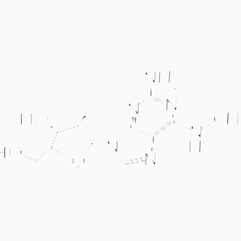 CNc1nc(N)nc2c1ncn2[C@@H]1OC(CO)[C@@H](O)[C@H]1F